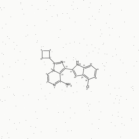 Nc1nccn2c(C3CCC3)nc(-c3cc4c(Cl)cccc4[nH]3)c12